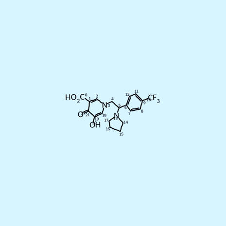 O=C(O)c1cn(CC(c2ccc(C(F)(F)F)cc2)N2CCCC2)cc(O)c1=O